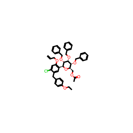 C=CCOc1cc(Cl)c(Cc2ccc(OCC)cc2)cc1[C@@H]1O[C@H](COC(C)=O)[C@@H](OCc2ccccc2)[C@@H](OCc2ccccc2)[C@H]1OCc1ccccc1